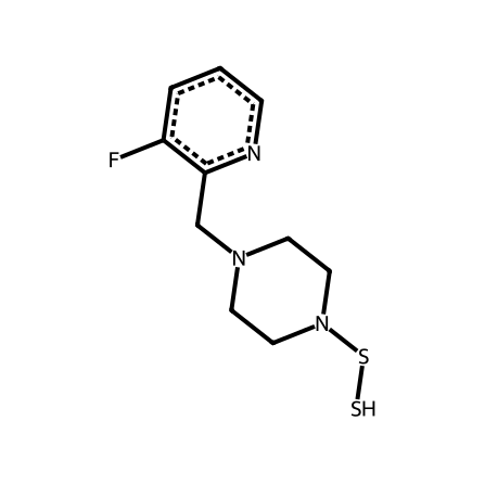 Fc1cccnc1CN1CCN(SS)CC1